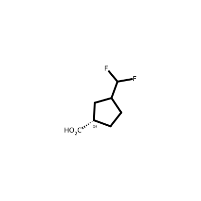 O=C(O)[C@H]1CCC(C(F)F)C1